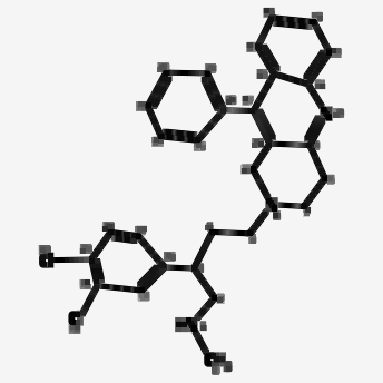 CNCC(CCN1CCc2nc3ccccc3c(-c3ccccc3)c2C1)c1ccc(Cl)c(Cl)c1